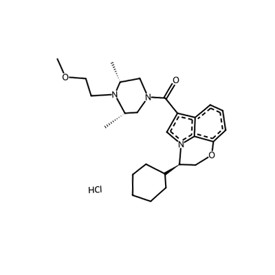 COCCN1[C@H](C)CN(C(=O)c2cn3c4c(cccc24)OC[C@H]3C2CCCCC2)C[C@@H]1C.Cl